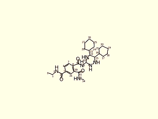 CCNC(=O)c1ccc(C(=O)NC2NNC(C3CCCCC3)C(C3CCCCC3)N2)c(C(=O)NC)c1